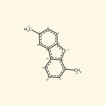 Cc1ccc2sc3c(C)cncc3c2c1